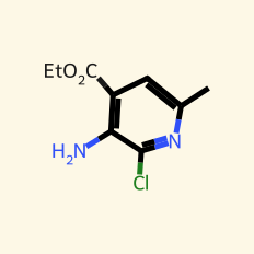 CCOC(=O)c1cc(C)nc(Cl)c1N